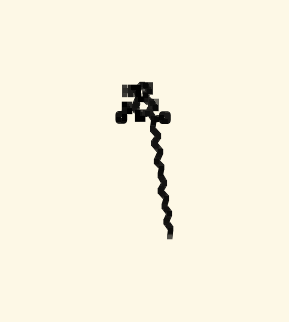 CCCCCCCCCCCCCCCC(=O)c1nc(N=O)c2[nH]cnc2n1